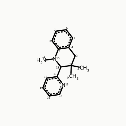 CC1(C)Cc2ccccc2N(N)C1c1ccccn1